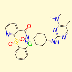 Cc1cnc(N[C@H]2CC[C@@H](NC(=O)c3cccnc3S(=O)(=O)c3ccccc3Cl)CC2)nc1N(C)C